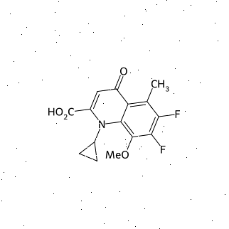 COc1c(F)c(F)c(C)c2c(=O)cc(C(=O)O)n(C3CC3)c12